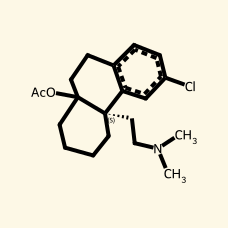 CC(=O)OC12CCCC[C@]1(CCN(C)C)c1cc(Cl)ccc1CC2